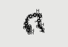 Cc1cc(-c2ccnc(Nc3ccc(C4CCN(CC5CN(c6ccc7c(c6)C(=O)N(C6CCC(O)NC6=O)C7=O)C5)CC4)cc3)n2)ccc1CNC(=O)N1CC(OC(C)C)C1